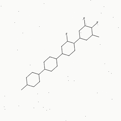 CC1CCC(C2CCC(C3CCC(C4CC(C)C(F)C(F)C4)C(F)C3)CC2)CC1